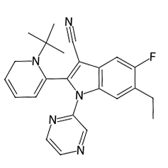 CCc1cc2c(cc1F)c(C#N)c(C1=CC=CCN1C(C)(C)C)n2-c1cnccn1